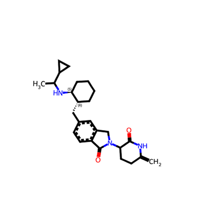 C=C1CCC(N2Cc3cc(C[C@H]4CCCC[C@@H]4NC(C)C4CC4)ccc3C2=O)C(=O)N1